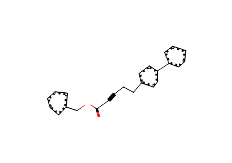 O=C(C#CCCc1ccc(-c2ccccc2)cc1)OCc1ccccc1